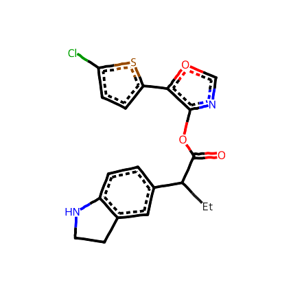 CCC(C(=O)Oc1ncoc1-c1ccc(Cl)s1)c1ccc2c(c1)CCN2